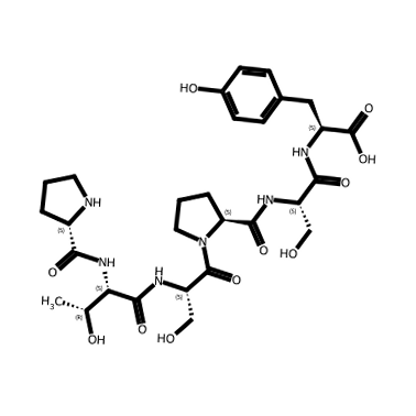 C[C@@H](O)[C@H](NC(=O)[C@@H]1CCCN1)C(=O)N[C@@H](CO)C(=O)N1CCC[C@H]1C(=O)N[C@@H](CO)C(=O)N[C@@H](Cc1ccc(O)cc1)C(=O)O